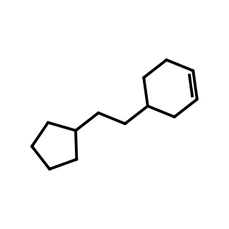 C1=CCC(CCC2CCCC2)CC1